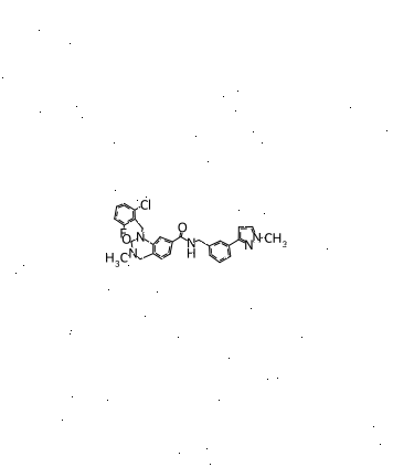 CN1Cc2ccc(C(=O)NCc3cccc(-c4ccn(C)n4)c3)cc2N(Cc2c(F)cccc2Cl)C1=O